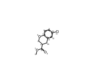 COC(=O)C1COc2ccc(Cl)cc2C1